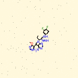 CCC(/C(=C/Nc1ccc(F)c(F)c1)N=N)n1cc(-c2cncnc2OC)c2c(N)ncnc21